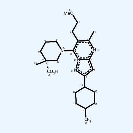 COCCc1c(C)nc2cc(C3CCC(C(F)(F)F)CC3)nn2c1N1CCC[C@@](C)(C(=O)O)C1